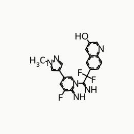 Cn1cc(-c2cc(F)c(=N)n(C(=N)C(F)(F)c3ccc4ncc(O)cc4c3)c2)cn1